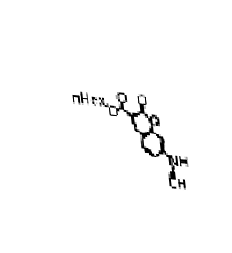 C#CNc1ccc2cc(C(=O)OCCCCCC)c(=O)oc2c1